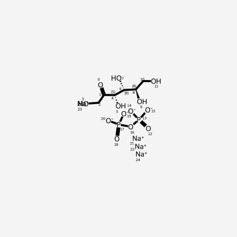 O=C(CO)[C@@H](O)[C@H](O)[C@H](O)CO.O=P([O-])([O-])OP(=O)([O-])[O-].[Na+].[Na+].[Na+].[Na+]